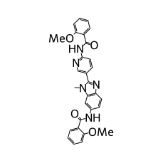 COc1ccccc1C(=O)Nc1ccc2nc(-c3ccc(NC(=O)c4ccccc4OC)nc3)n(C)c2c1